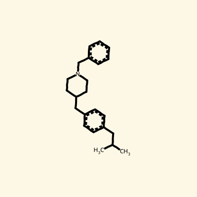 CC(C)Cc1ccc(CC2CCN(Cc3ccccc3)CC2)cc1